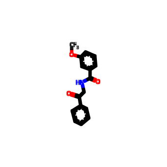 O=C(CNC(=O)c1cccc(OC(F)(F)F)c1)c1ccccc1